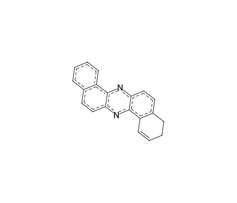 C1=Cc2c(ccc3nc4c(ccc5ccccc54)nc23)CC1